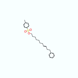 Cc1ccc(S(=O)(=O)OCCCCCCCC=CCCc2ccccc2)cc1